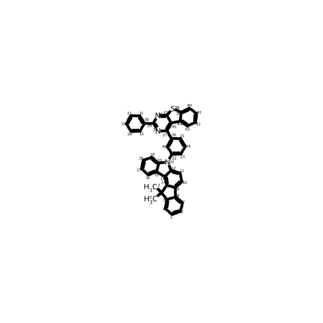 CC1(C)c2ccccc2-c2ccc3c(c21)c1ccccc1n3-c1cccc(-c2nc(-c3ccccc3)nc3sc4ccccc4c23)c1